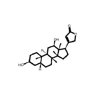 C[C@]12CC[C@H](O)C[C@H]1CC[C@]1(C)[C@@H]2C[C@@H](O)[C@]2(C)[C@@H](C3=CC(=O)OC3)CC[C@@]21C